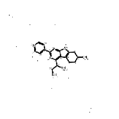 CC1CCc2c(sc3nc(-c4ccncc4)nc(C(N)CN)c23)C1